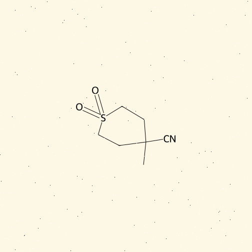 CC1(C#N)CCS(=O)(=O)CC1